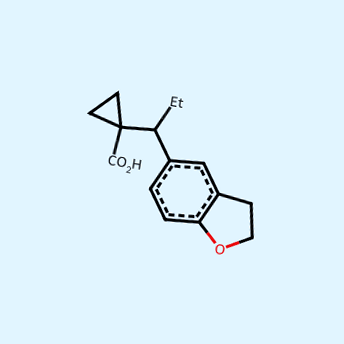 [CH2]CC(c1ccc2c(c1)CCO2)C1(C(=O)O)CC1